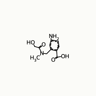 CN(Cc1cc(N)ccc1C(=O)O)C(=O)CO